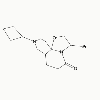 CC(C)C1COC23CCN(C4CCC4)CC2CCC(=O)N13